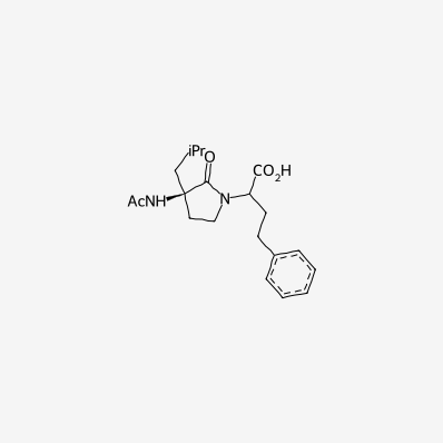 CC(=O)N[C@]1(CC(C)C)CCN(C(CCc2ccccc2)C(=O)O)C1=O